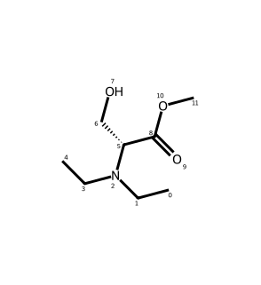 CCN(CC)[C@H](CO)C(=O)OC